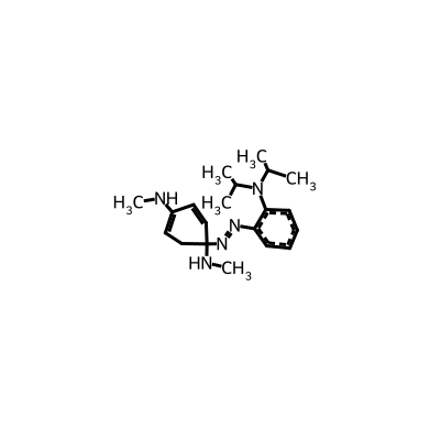 CNC1=CCC(N=Nc2ccccc2N(C(C)C)C(C)C)(NC)C=C1